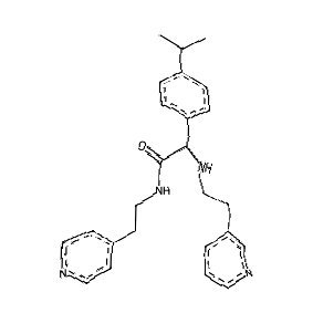 CC(C)c1ccc(C(NCCc2cccnc2)C(=O)NCCc2ccncc2)cc1